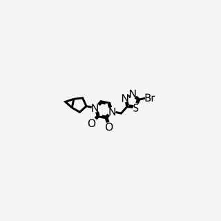 O=c1c(=O)n(C2CC3CC3C2)ccn1Cc1nnc(Br)s1